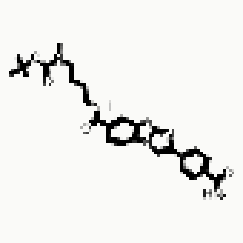 CNC(=O)c1ccc(-c2cn3c(n2)sc2cc(C(=O)NCCCCN(C)C(=O)OC(C)(C)C)ccc23)cc1